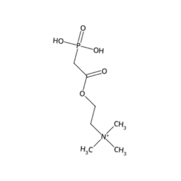 C[N+](C)(C)CCOC(=O)CP(=O)(O)O